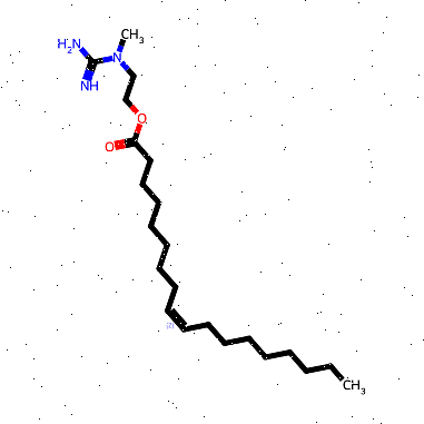 CCCCCCCC/C=C\CCCCCCCC(=O)OCCN(C)C(=N)N